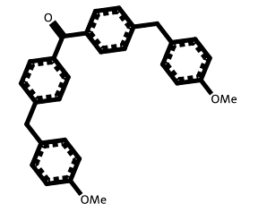 COc1ccc(Cc2ccc(C(=O)c3ccc(Cc4ccc(OC)cc4)cc3)cc2)cc1